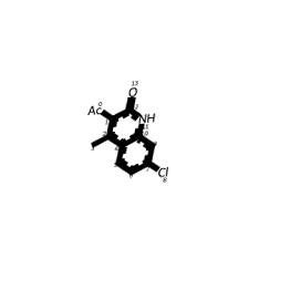 CC(=O)c1c(C)c2ccc(Cl)cc2[nH]c1=O